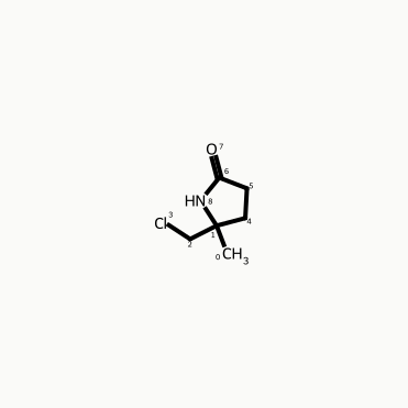 CC1(CCl)CCC(=O)N1